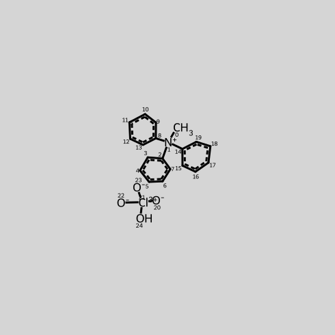 C[N+](c1ccccc1)(c1ccccc1)c1ccccc1.[O-][Cl+3]([O-])([O-])O